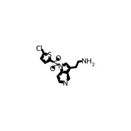 NCCc1cn(S(=O)(=O)c2ccc(Cl)s2)c2ccncc12